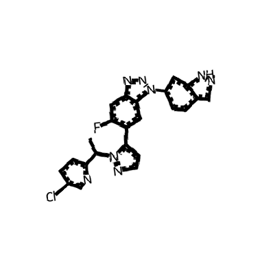 CC(c1ccc(Cl)cn1)n1nccc1-c1cc2c(cc1F)nnn2-c1ccc2cn[nH]c2c1